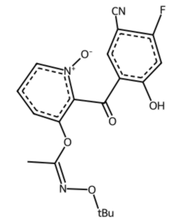 C/C(=N/OC(C)(C)C)Oc1ccc[n+]([O-])c1C(=O)c1cc(C#N)c(F)cc1O